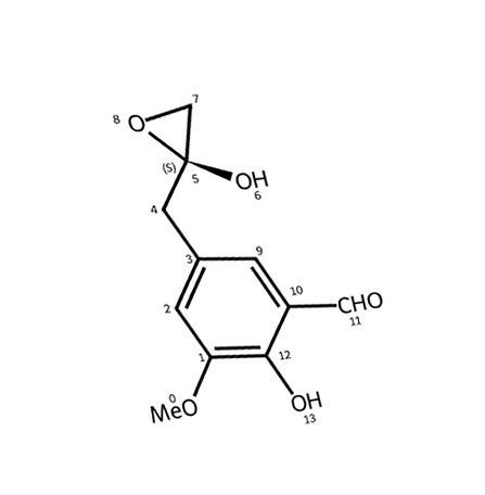 COc1cc(C[C@@]2(O)CO2)cc(C=O)c1O